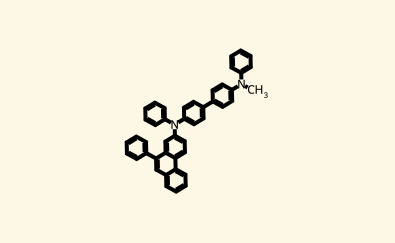 CN(c1ccccc1)c1ccc(-c2ccc(N(c3ccccc3)c3ccc4c(c3)c(-c3ccccc3)cc3ccccc34)cc2)cc1